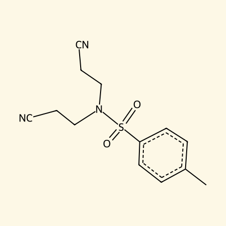 Cc1ccc(S(=O)(=O)N(CCC#N)CCC#N)cc1